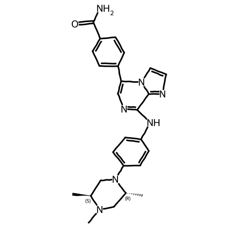 C[C@@H]1CN(C)[C@@H](C)CN1c1ccc(Nc2ncc(-c3ccc(C(N)=O)cc3)n3ccnc23)cc1